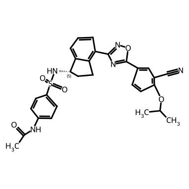 CC(=O)Nc1ccc(S(=O)(=O)N[C@H]2CCc3c(-c4noc(-c5ccc(OC(C)C)c(C#N)c5)n4)cccc32)cc1